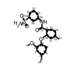 COc1cc(F)ccc1Oc1cc(C)ccc1C(=O)Nc1cccc(S(N)(=O)=O)c1